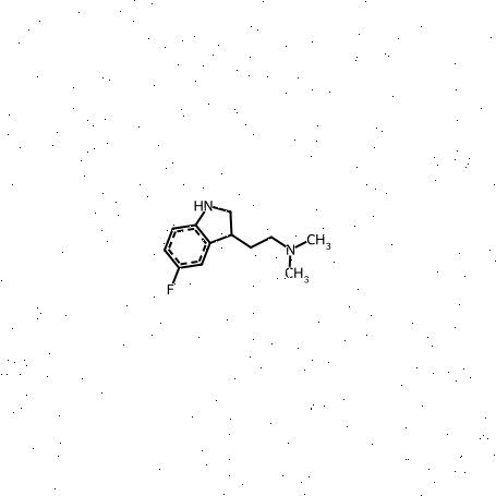 CN(C)CCC1CNc2ccc(F)cc21